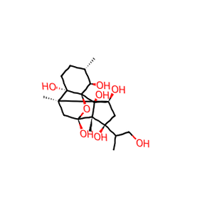 CC(CO)[C@@]1(O)C[C@@]2(O)[C@@]3(C)C[C@]4(O)O[C@@]5([C@H](O)[C@@H](C)CC[C@]35O)[C@@]2(O)[C@@]41C